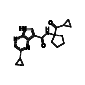 O=C(NC1(C(=O)C2CC2)CCCC1)c1c[nH]c2ncc(C3CC3)nc12